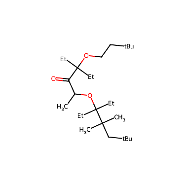 CCC(CC)(OCCC(C)(C)C)C(=O)C(C)OC(CC)(CC)C(C)(C)CC(C)(C)C